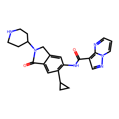 O=C(Nc1cc2c(cc1C1CC1)C(=O)N(C1CCNCC1)C2)c1cnn2cccnc12